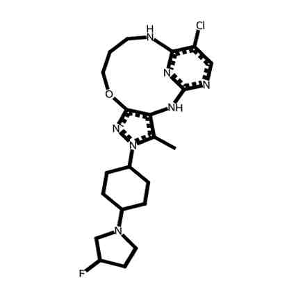 Cc1c2c(nn1C1CCC(N3CCC(F)C3)CC1)OCCCNc1nc(ncc1Cl)N2